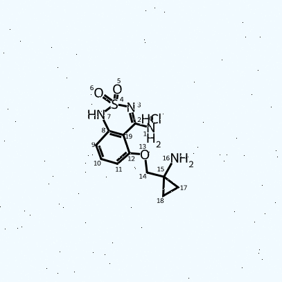 Cl.NC1=NS(=O)(=O)Nc2cccc(OCC3(N)CC3)c21